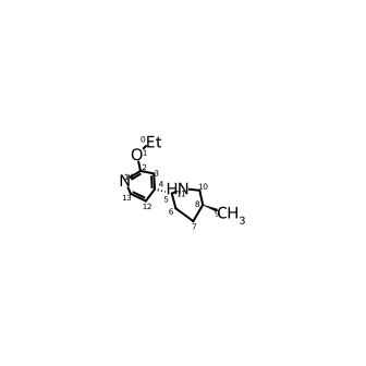 CCOc1cc([C@H]2CC[C@H](C)CN2)ccn1